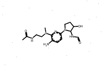 CC(=O)NCCN(C)c1nc(N2CCC(O)C2NC=O)ccc1N